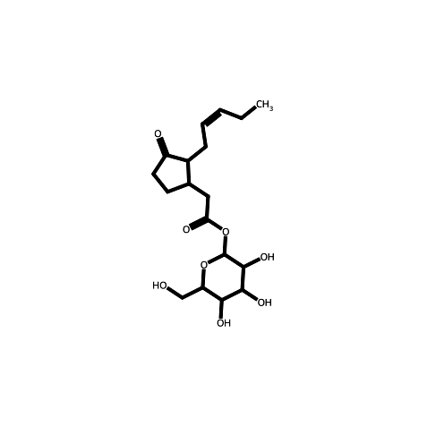 CC/C=C\CC1C(=O)CCC1CC(=O)OC1OC(CO)C(O)C(O)C1O